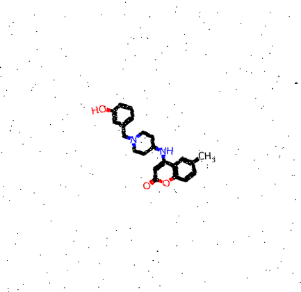 Cc1ccc2oc(=O)cc(NC3CCN(Cc4cccc(O)c4)CC3)c2c1